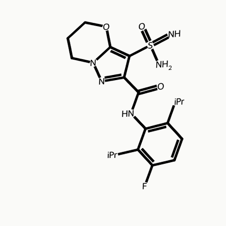 CC(C)c1ccc(F)c(C(C)C)c1NC(=O)c1nn2c(c1S(=N)(N)=O)OCCC2